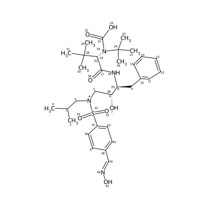 CC(C)CN(C[C@@H](O)[C@H](Cc1ccccc1)NC(=O)[C@@H](N(C(=O)O)C(C)(C)C)C(C)(C)C)S(=O)(=O)c1ccc(C=NO)cc1